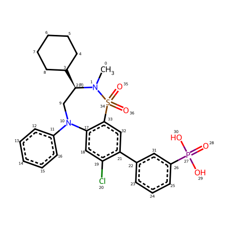 CN1[C@H](C2CCCCC2)CN(c2ccccc2)c2cc(Cl)c(-c3cccc(P(=O)(O)O)c3)cc2S1(=O)=O